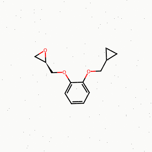 c1ccc(OC[C@H]2CO2)c(OCC2CC2)c1